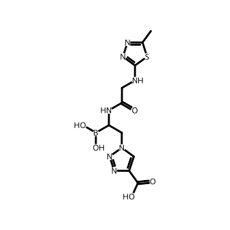 Cc1nnc(NCC(=O)NC(Cn2cc(C(=O)O)nn2)B(O)O)s1